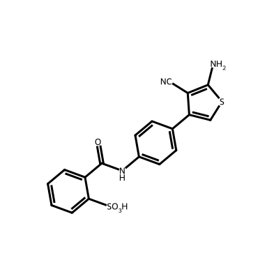 N#Cc1c(-c2ccc(NC(=O)c3ccccc3S(=O)(=O)O)cc2)csc1N